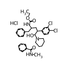 CCOC(=O)NC(Cc1ccccc1)CC(c1ccc(Cl)c(Cl)c1)C(O)N1CCCCC1.CNC(=O)c1ccccc1.Cl